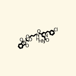 CNC(=O)c1cc(C(=O)NCCCC2OCC(N3C(=O)c4ccccc4C3=O)CO2)cc(Cc2cccc(Cl)c2)n1